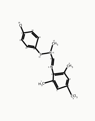 Cc1cc(C(Cl)(Cl)Cl)cc(C)c1N=CN(C)Sc1ccc(Cl)cc1